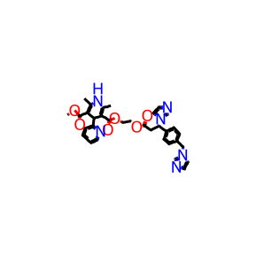 COC(=O)C1=C(C)NC(C)=C(C(=O)OCCOC(=O)CC(c2ccc(Cn3ccnc3)cc2)n2ccnc2)C1c1ccccn1